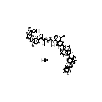 CCc1cc(Nc2nccn3c(-c4ccc(Oc5ncccn5)c(F)c4F)cnc23)ccc1C(=O)NCCCNC(=O)C1CC[N+](C)(CC2CCN(C(=O)O)C2)CC1.I